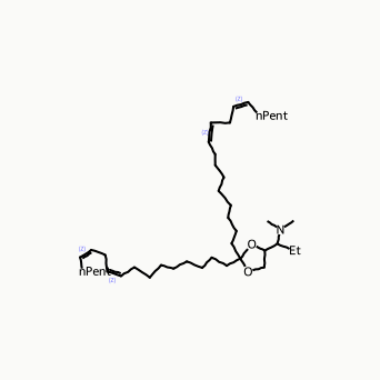 CCCCC/C=C\C/C=C\CCCCCCCCC1(CCCCCCCC/C=C\C/C=C\CCCCC)OCC(C(CC)N(C)C)O1